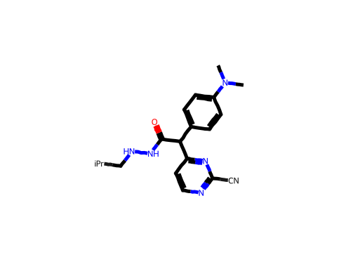 CC(C)CNNC(=O)C(c1ccc(N(C)C)cc1)c1ccnc(C#N)n1